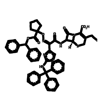 O=C(O)C1=C(CI)CS[C@H]2C(NC(=O)/C(=N\OC3(C(=O)OC(c4ccccc4)c4ccccc4)CCCC3)c3csc(NC(c4ccccc4)(c4ccccc4)c4ccccc4)n3)C(=O)N12